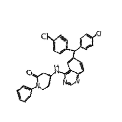 O=C1CC(Nc2ncnc3ccc(C(c4ccc(Cl)cc4)c4ccc(Cl)cc4)cc23)CCN1c1ccccc1